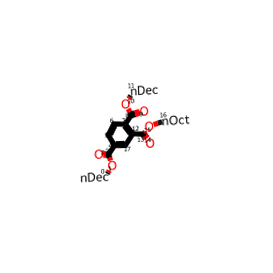 CCCCCCCCCCOC(=O)c1ccc(C(=O)OCCCCCCCCCC)c(C(=O)OCCCCCCCC)c1